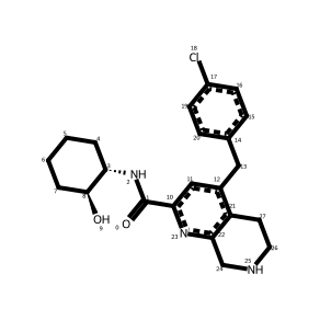 O=C(N[C@H]1CCCC[C@@H]1O)c1cc(Cc2ccc(Cl)cc2)c2c(n1)CNCC2